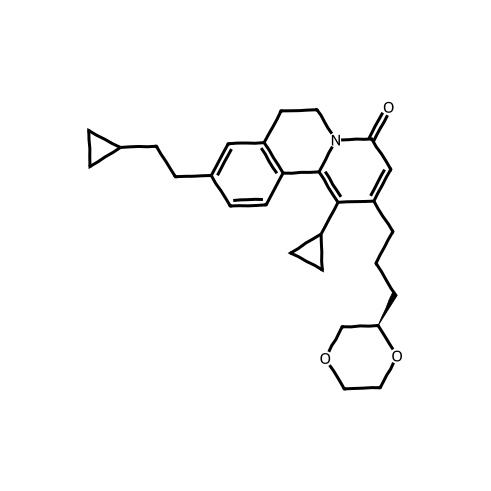 O=c1cc(CCC[C@@H]2COCCO2)c(C2CC2)c2n1CCc1cc(CCC3CC3)ccc1-2